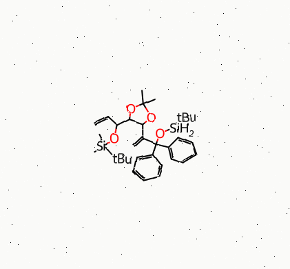 C=CC(O[Si](C)(C)C(C)(C)C)C1OC(C)(C)OC1C(=C)C(O[SiH2]C(C)(C)C)(c1ccccc1)c1ccccc1